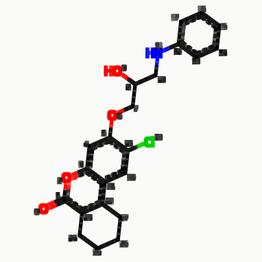 O=c1oc2cc(OCC(O)CNc3ccccc3)c(Cl)cc2c2c1CCCC2